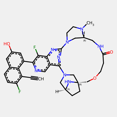 C#Cc1c(F)ccc2cc(O)cc(-c3ncc4c5nc(nc4c3F)N3CCN(C)[C@H](CNC(=O)CCOC[C@@]46CC[C@@H](CN5C4)N6)C3)c12